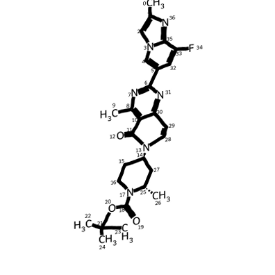 Cc1cn2cc(-c3nc(C)c4c(=O)n([C@H]5CCN(C(=O)OC(C)(C)C)[C@@H](C)C5)ccc4n3)cc(F)c2n1